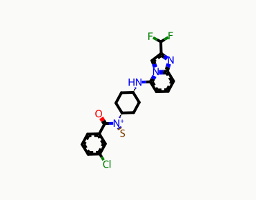 O=C(c1cccc(Cl)c1)[N+](=S)[C@H]1CC[C@@H](Nc2cccc3nc(C(F)F)cn23)CC1